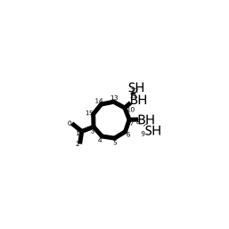 CC(C)C1CCCC(BS)C(BS)CCC1